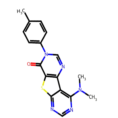 Cc1ccc(-n2cnc3c(sc4ncnc(N(C)C)c43)c2=O)cc1